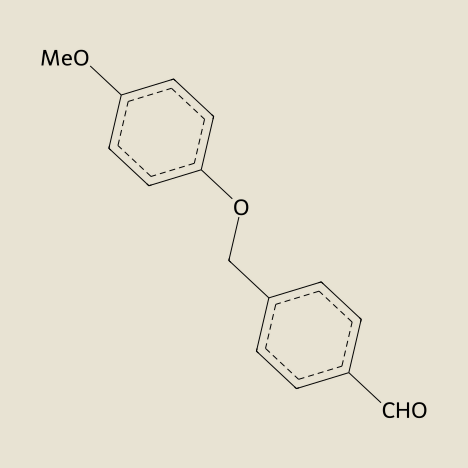 COc1ccc(OCc2ccc(C=O)cc2)cc1